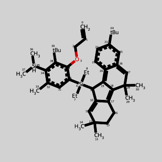 C=CCOc1c([Si](CC)(CC)C2C3=CC(C)(C)CCC3=C3C2=c2ccc(C(C)(C)C)cc2=CC3(C)C)cc(C)c([SiH](C)C)c1C(C)(C)C